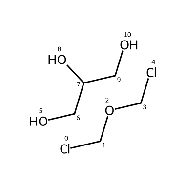 ClCOCCl.OCC(O)CO